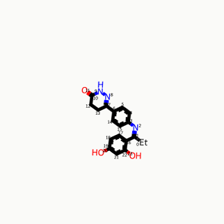 CCC(=Nc1ccc(C2=NNC(=O)CC2)cc1)c1ccc(O)cc1O